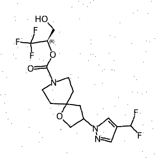 O=C(O[C@H](CO)C(F)(F)F)N1CCC2(CC1)CC(n1cc(C(F)F)cn1)CO2